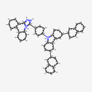 c1ccc2cc(-c3ccc4c(c3)c3cc(-c5ccc6ccccc6c5)ccc3n4-c3ccc(-c4nnc5c6ccccc6c6ccccc6n45)cc3)ccc2c1